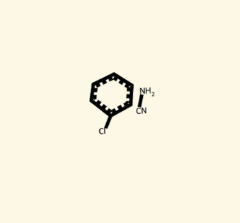 Clc1ccccc1.N#CN